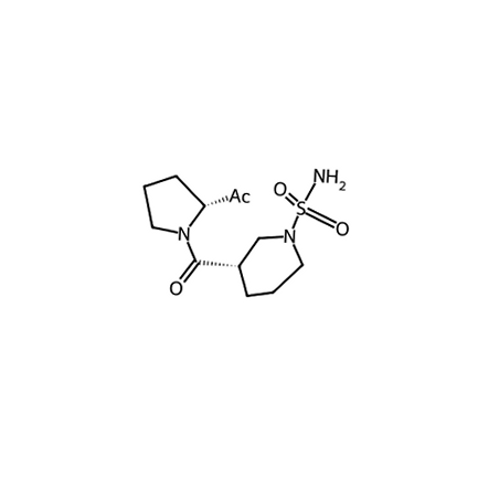 CC(=O)[C@H]1CCCN1C(=O)[C@H]1CCCN(S(N)(=O)=O)C1